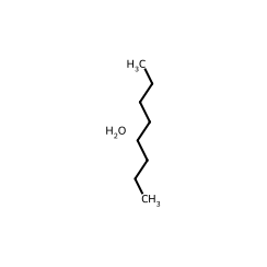 CCCCCCCC.O